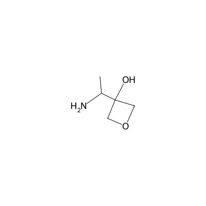 CC(N)C1(O)COC1